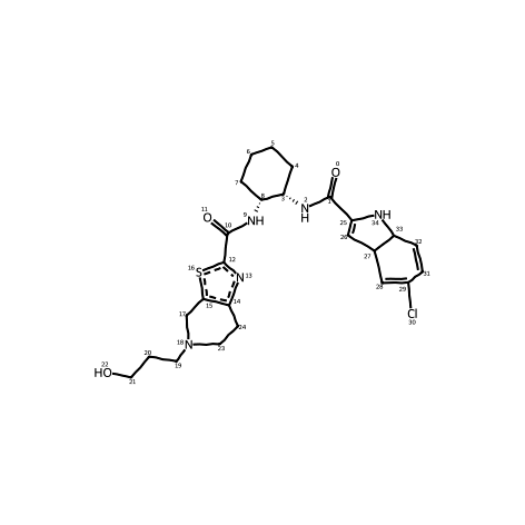 O=C(N[C@H]1CCCC[C@H]1NC(=O)c1nc2c(s1)CN(CCCO)CC2)C1=CC2C=C(Cl)C=CC2N1